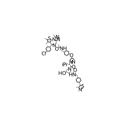 Cc1ncsc1-c1ccc(CNC(=O)[C@@H]2C[C@@H](O)CN2C(=O)C(C(C)C)n2cc(Oc3ccc(CNC(=O)C[C@@H]4N=C(c5ccc(Cl)cc5)c5c(sc(C)c5C)-n5c(C)nnc54)cc3)cn2)cc1